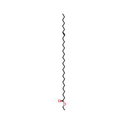 CCCCCCC=CCCCCCCCCCCCCCCCCCCCCC(=O)OCC